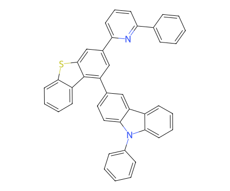 c1ccc(-c2cccc(-c3cc(-c4ccc5c(c4)c4ccccc4n5-c4ccccc4)c4c(c3)sc3ccccc34)n2)cc1